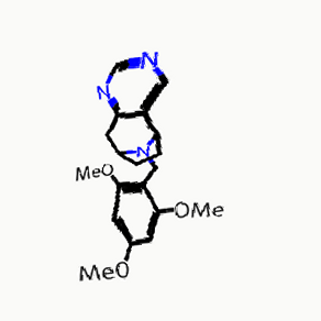 COc1cc(OC)c(CN2C3CCC2c2cncnc2C3)c(OC)c1